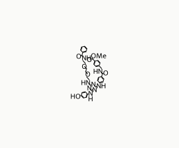 COC(=O)c1ccc(CNC(=O)c2ccc(Nc3nc(NCCOCCOCCNC(=O)c4ccccc4)nc(Nc4ccc(O)cc4)n3)cc2)cc1